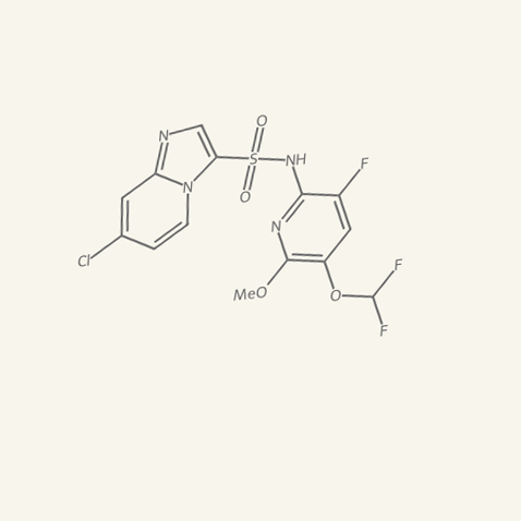 COc1nc(NS(=O)(=O)c2cnc3cc(Cl)ccn23)c(F)cc1OC(F)F